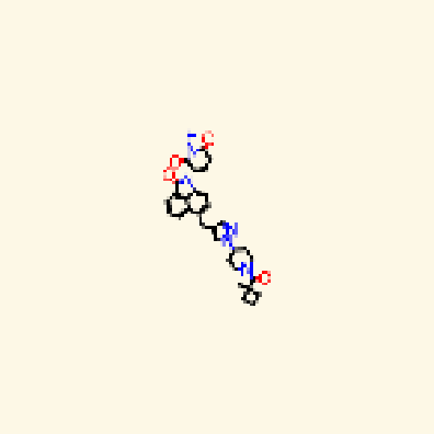 CC1(C(=O)N2CCC(n3cc(Cc4ccc5c6c(cccc46)C(=O)N5[C@H]4CCC(=O)NC4=O)cn3)CC2)CCC1